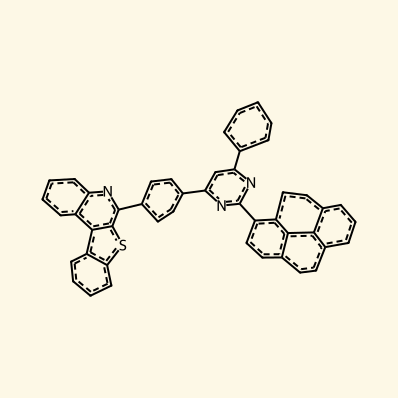 c1ccc(-c2cc(-c3ccc(-c4nc5ccccc5c5c4sc4ccccc45)cc3)nc(-c3ccc4ccc5cccc6ccc3c4c56)n2)cc1